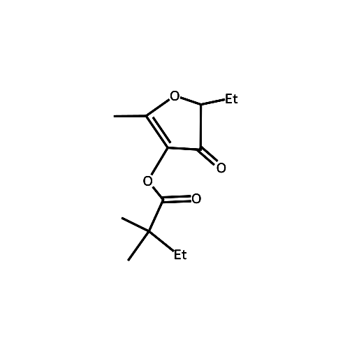 CCC1OC(C)=C(OC(=O)C(C)(C)CC)C1=O